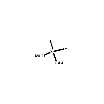 CCCC[Si](CC)(CC)OC